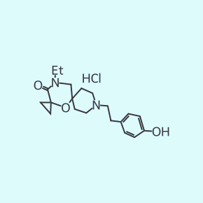 CCN1CC2(CCN(CCc3ccc(O)cc3)CC2)OC2(CC2)C1=O.Cl